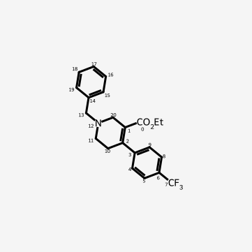 CCOC(=O)C1=C(c2ccc(C(F)(F)F)cc2)CCN(Cc2ccccc2)C1